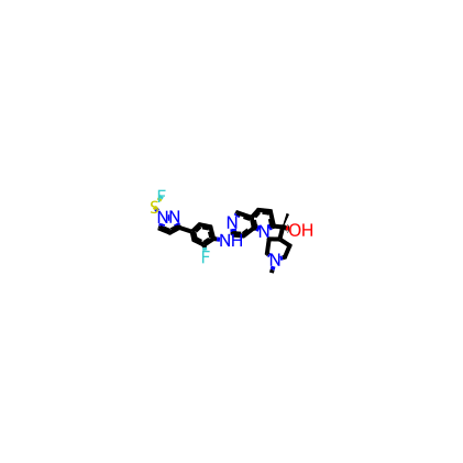 CN1CCC([C@@](C)(O)c2ccc3cnc(Nc4ccc(-c5ccn(SF)n5)cc4F)cc3n2)CC1